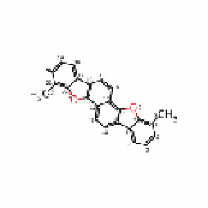 Cc1cccc2c1oc1c2ccc2c1ccc1c3cccc(C)c3oc12